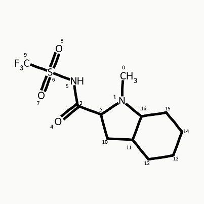 CN1C(C(=O)NS(=O)(=O)C(F)(F)F)CC2CCCCC21